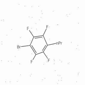 CCCc1c(F)c(F)c(Br)c(F)c1F